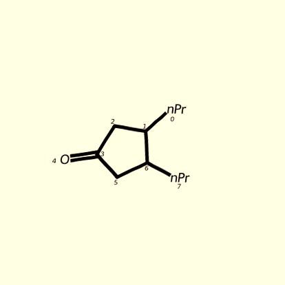 CCCC1CC(=O)CC1CCC